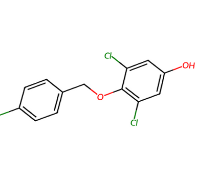 Oc1cc(Cl)c(OCc2ccc(Cl)cc2)c(Cl)c1